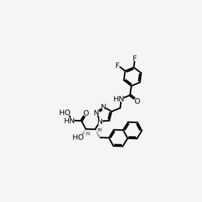 O=C(NCc1cn([C@H](Cc2ccc3ccccc3c2)[C@H](O)C(=O)NO)nn1)c1ccc(F)c(F)c1